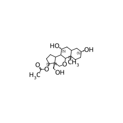 CC(=O)O[C@H]1CCC2C3C(OC[C@@]21CO)[C@@]1(C)CC[C@H](O)CC1C[C@@H]3O